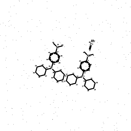 C=O.CN(C)c1ccc(P(C2CCCCC2)C2CCCCC2)cc1.CN(C)c1ccc(P(C2CCCCC2)C2CCCCC2)cc1.[Rh]